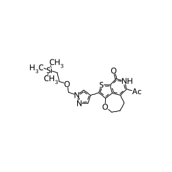 CC(=O)c1[nH]c(=O)c2sc(-c3cnn(COCC[Si](C)(C)C)c3)c3c2c1CCCO3